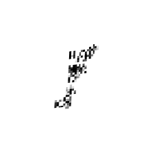 CC(=O)N1CCN(C2CC(C(=O)Nc3nc4ccc(-c5cnc(CO[C@H]6CCC[C@@H]6O)nc5)cc4s3)C2)C(C)C1